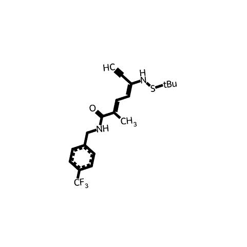 C#C/C(=C\C=C(/C)C(=O)NCc1ccc(C(F)(F)F)cc1)NSC(C)(C)C